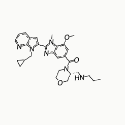 CCCNC[C@@H]1COCCN1C(=O)c1cc(OC)c2c(c1)nc(-c1cc3cccnc3n1CC1CC1)n2C